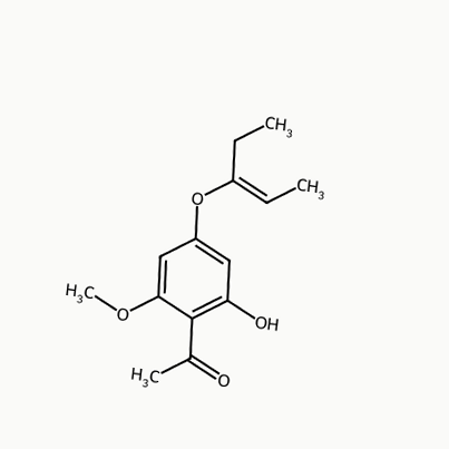 CC=C(CC)Oc1cc(O)c(C(C)=O)c(OC)c1